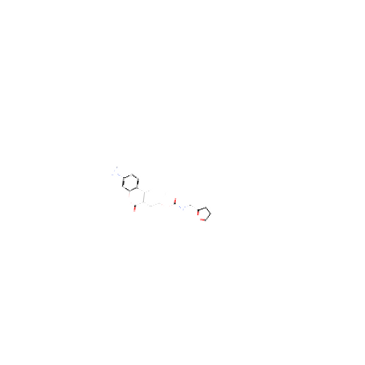 CCN(CC)c1ccc2c(c1)OC(=O)C(CCOC(=O)NCc1ccco1)C2C